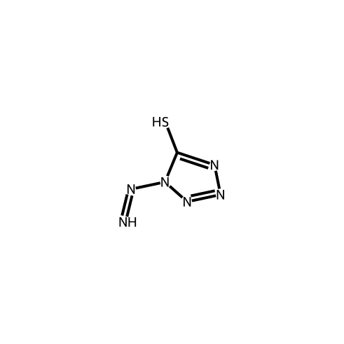 N=Nn1nnnc1S